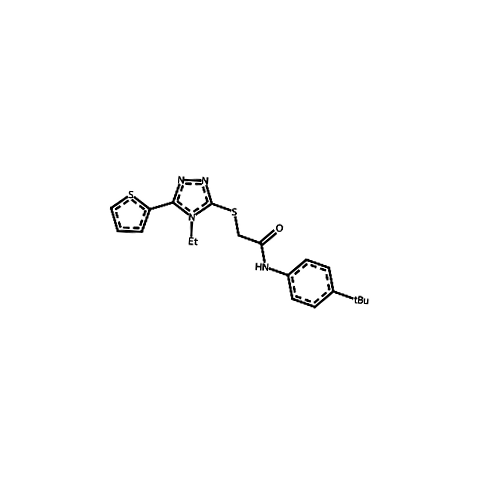 CCn1c(SCC(=O)Nc2ccc(C(C)(C)C)cc2)nnc1-c1cccs1